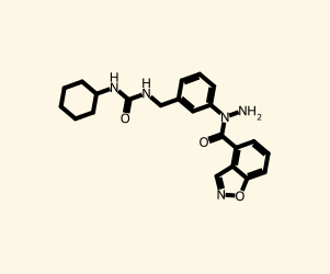 NN(C(=O)c1cccc2oncc12)c1cccc(CNC(=O)NC2CCCCC2)c1